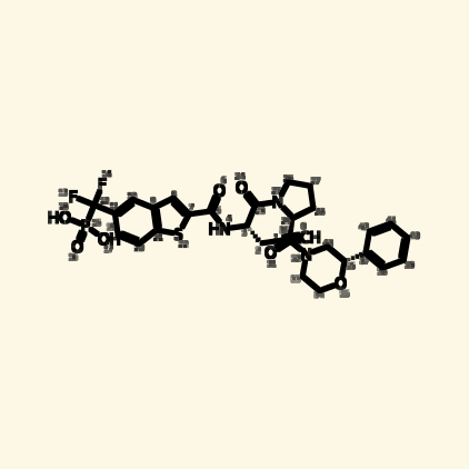 C#CC[C@H](NC(=O)c1cc2cc(C(F)(F)P(=O)(O)O)ccc2s1)C(=O)N1CCC[C@H]1C(=O)N1CCO[C@@H](c2ccccc2)C1